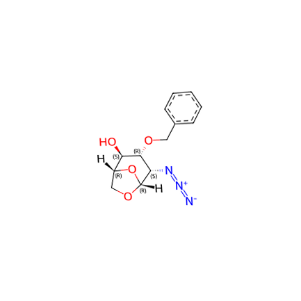 [N-]=[N+]=N[C@@H]1[C@@H]2OC[C@@H](O2)[C@@H](O)[C@@H]1OCc1ccccc1